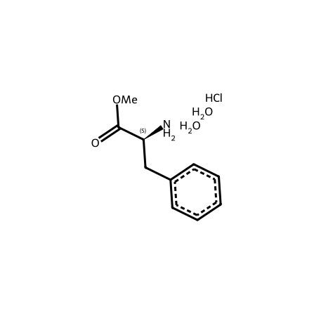 COC(=O)[C@@H](N)Cc1ccccc1.Cl.O.O